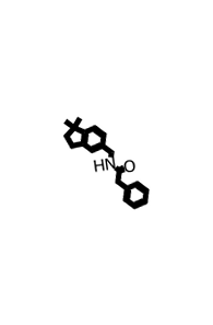 CC1(C)CCc2cc(CNC(=O)Cc3ccccc3)ccc21